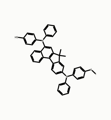 CC1(C)c2cc(N(c3ccccc3)c3ccc(SI)cc3)ccc2-c2c1cc(N(c1ccccc1)c1ccc(S)cc1)c1ccccc21